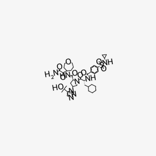 CC(C)(O)c1cnnn1[C@H]1C[C@@H](C(=O)N[C@@]2(C(=O)C(N)=O)CCCOCC2)N(C(=O)[C@@H](CC2CCCCC2)NC(=O)c2ccc(S(=O)(=O)NC3CC3)cc2)C1